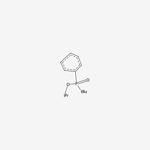 CC(C)OP(=O)(c1ccccc1)C(C)(C)C